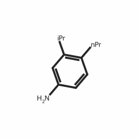 CCCc1ccc(N)cc1C(C)C